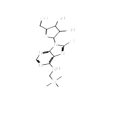 C[Si](C)(C)CNc1ncnc2c1nc(Cl)n2C1OC(CO)C(O)C1O